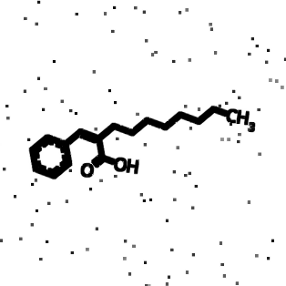 CCCCCCCCC(=Cc1ccccc1)C(=O)O